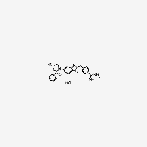 Cl.Cn1c(Cc2ccc(C(=N)N)cc2)nc2cc(N(CC(=O)O)S(=O)(=O)c3ccccc3)ccc21